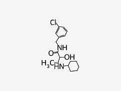 CC(NC1CCCCC1)C(O)C(=O)NCc1cccc(Cl)c1